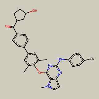 Cc1cc(-c2ccc(C(=O)C3CCC(O)C3)cc2)cc(C)c1Oc1nc(Nc2ccc(C#N)cc2)nc2ccn(C)c12